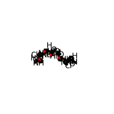 CCC(CC)(O[PH](=O)OC(CC)(CC)C(=O)Nc1cccc(Nc2ncc(Cl)c(Nc3ccccc3C(=O)NC)n2)c1)C(=O)Nc1cccc(Nc2ncc(Cl)c(Nc3ccccc3C(=O)NC)n2)c1